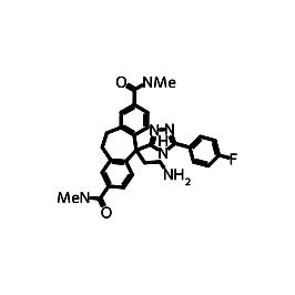 CNC(=O)c1ccc2c(c1)CCc1cc(C(=O)NC)ccc1C2(CCN)c1nnc(-c2ccc(F)cc2)[nH]1